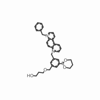 OCCCOCc1cc(C[n+]2cccc3c4ccc[n+](Cc5ccccc5)c4ccc32)cc(B2OCCCO2)c1